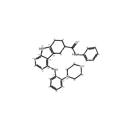 O=C(Nc1ccccc1)C1CCc2[nH]c3ncnc(Nc4ccccc4N4CCOCC4)c3c2C1